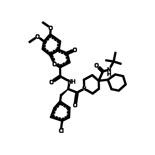 COc1cc2oc(C(=O)N[C@H](Cc3ccc(Cl)cc3)C(=O)N3CCC(C(=O)NC(C)(C)C)(C4CCCCC4)CC3)cc(=O)c2cc1OC